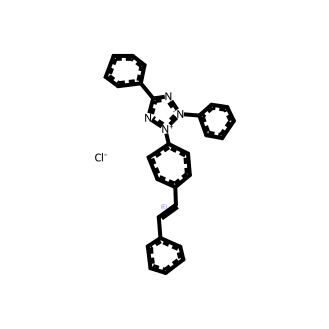 C(=C\c1ccc(-[n+]2nc(-c3ccccc3)nn2-c2ccccc2)cc1)/c1ccccc1.[Cl-]